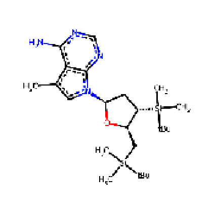 Cc1cn([C@H]2C[C@H]([Si](C)(C)C(C)(C)C)[C@@H](C[Si](C)(C)C(C)(C)C)O2)c2ncnc(N)c12